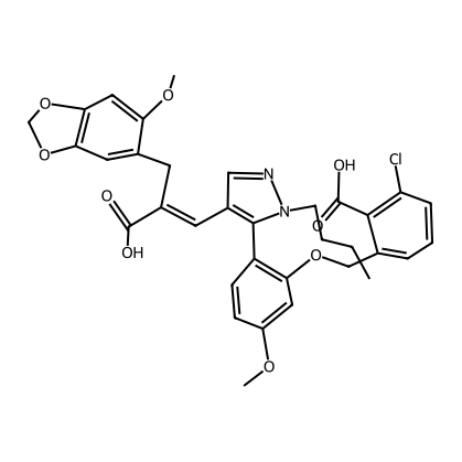 CCCCn1ncc(/C=C(\Cc2cc3c(cc2OC)OCO3)C(=O)O)c1-c1ccc(OC)cc1OCc1cccc(Cl)c1C(=O)O